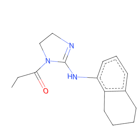 CCC(=O)N1CCN=C1Nc1cccc2c1CCCC2